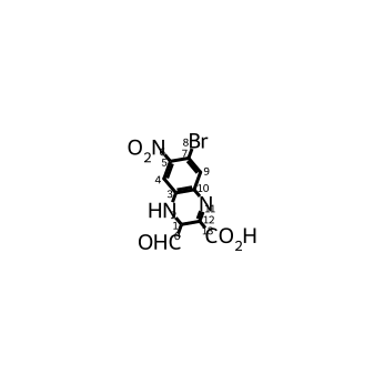 O=CC1Nc2cc([N+](=O)[O-])c(Br)cc2N=C1C(=O)O